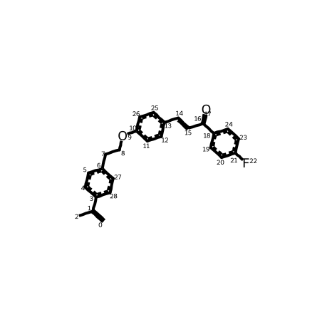 C=C(C)c1ccc(CCOc2ccc(C=CC(=O)c3ccc(F)cc3)cc2)cc1